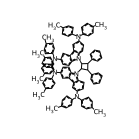 Cc1ccc(N(c2ccc(C)cc2)c2ccc3c(c2)c2cc(N(c4ccc(C)cc4)c4ccc(C)cc4)ccc2n3C2C(c3ccccc3)C(c3ccccc3)C2n2c3ccc(N(c4ccc(C)cc4)c4ccc(C)cc4)cc3c3cc(N(c4ccc(C)cc4)c4ccc(C)cc4)ccc32)cc1